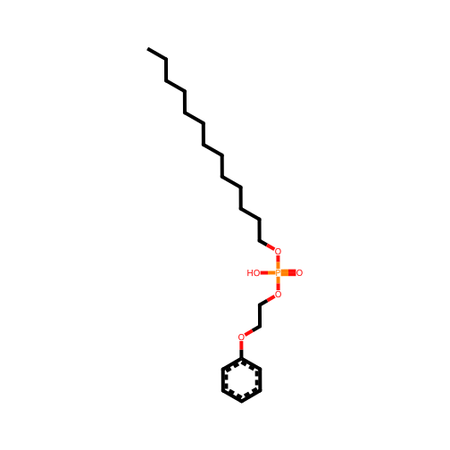 CCCCCCCCCCCCCOP(=O)(O)OCCOc1ccccc1